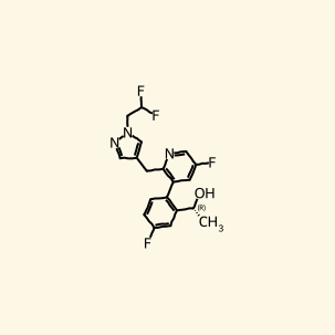 C[C@@H](O)c1cc(F)ccc1-c1cc(F)cnc1Cc1cnn(CC(F)F)c1